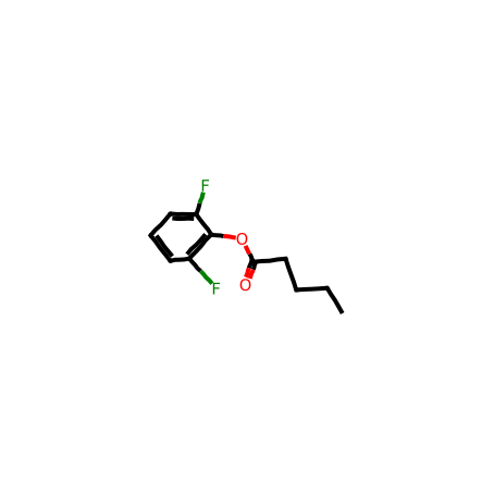 CCCCC(=O)Oc1c(F)cccc1F